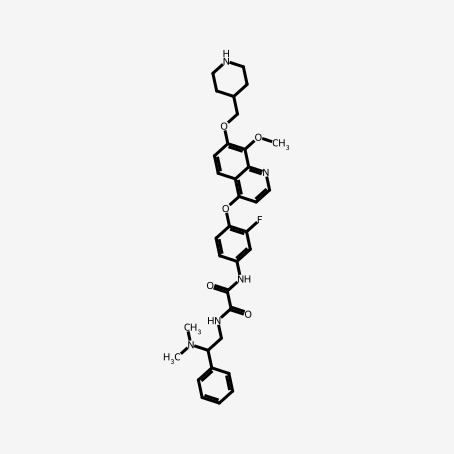 COc1c(OCC2CCNCC2)ccc2c(Oc3ccc(NC(=O)C(=O)NCC(c4ccccc4)N(C)C)cc3F)ccnc12